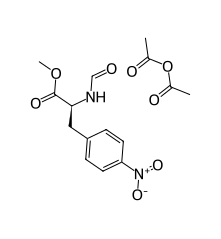 CC(=O)OC(C)=O.COC(=O)[C@H](Cc1ccc([N+](=O)[O-])cc1)NC=O